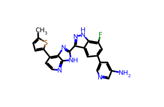 Cc1ccc(-c2ccnc3[nH]c(-c4n[nH]c5c(F)cc(-c6cncc(N)c6)cc45)nc23)s1